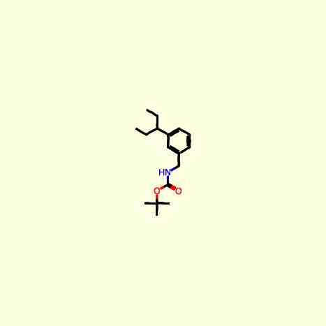 CCC(CC)c1cccc(CNC(=O)OC(C)(C)C)c1